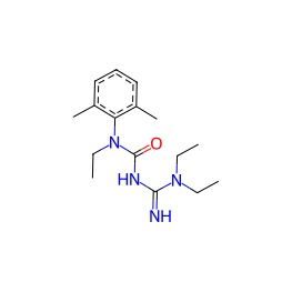 CCN(CC)C(=N)NC(=O)N(CC)c1c(C)cccc1C